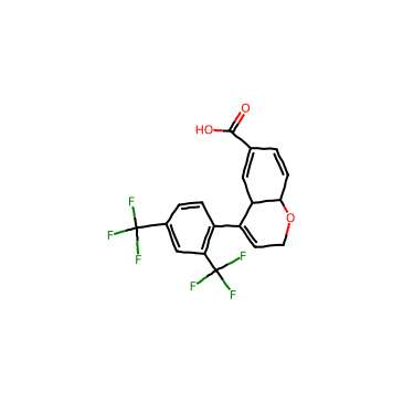 O=C(O)C1=CC2C(c3ccc(C(F)(F)F)cc3C(F)(F)F)=CCOC2C=C1